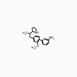 COc1cc(OC(C)C2CCCN2)ccc1-c1cccc(N)n1